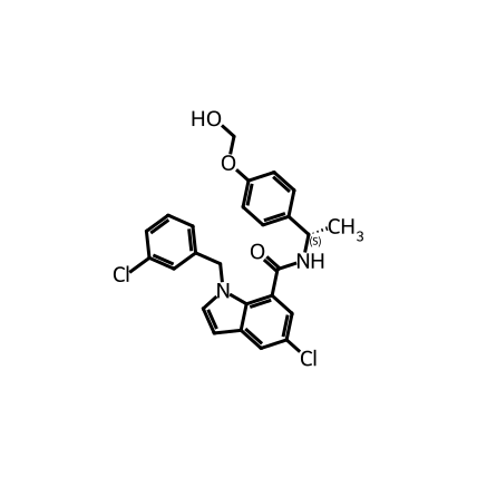 C[C@H](NC(=O)c1cc(Cl)cc2ccn(Cc3cccc(Cl)c3)c12)c1ccc(OCO)cc1